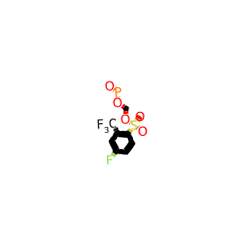 O=POCOS(=O)(=O)c1ccc(F)cc1C(F)(F)F